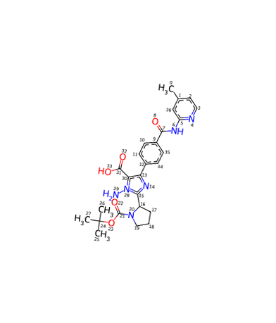 Cc1ccnc(NC(=O)c2ccc(-c3nc(C4CCCN4C(=O)OC(C)(C)C)n(N)c3C(=O)O)cc2)c1